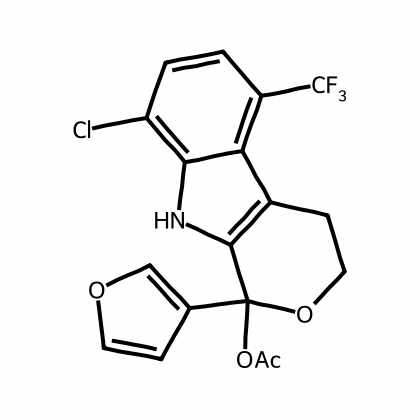 CC(=O)OC1(c2ccoc2)OCCc2c1[nH]c1c(Cl)ccc(C(F)(F)F)c21